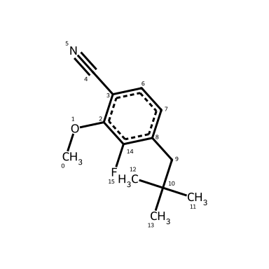 COc1c(C#N)ccc(CC(C)(C)C)c1F